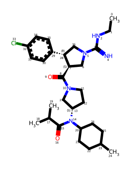 CCNC(=N)N1C[C@@H](C(=O)N2CC[C@H](N(C(=O)C(C)C)C3CCC(C)CC3)C2)[C@H](c2ccc(Cl)cc2)C1